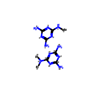 CCCCNc1nc(N)nc(N)n1.CCN(CC)c1nc(N)nc(N)n1